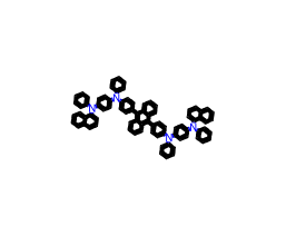 c1ccc(N(c2ccc(-c3c4ccccc4c(-c4ccc(N(c5ccccc5)c5ccc(N(c6ccccc6)c6cccc7ccccc67)cc5)cc4)c4ccccc34)cc2)c2ccc(N(c3ccccc3)c3cccc4ccccc34)cc2)cc1